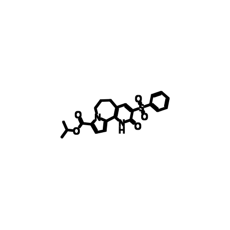 CC(C)OC(=O)c1ccc2n1CCCc1cc(S(=O)(=O)c3ccccc3)c(=O)[nH]c1-2